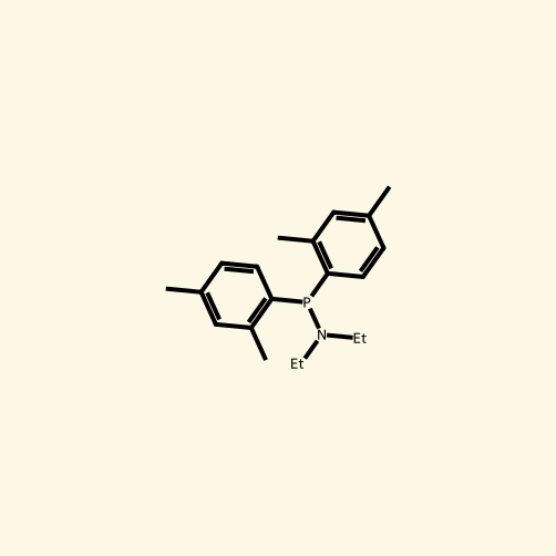 CCN(CC)P(c1ccc(C)cc1C)c1ccc(C)cc1C